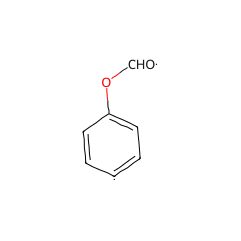 O=[C]Oc1cc[c]cc1